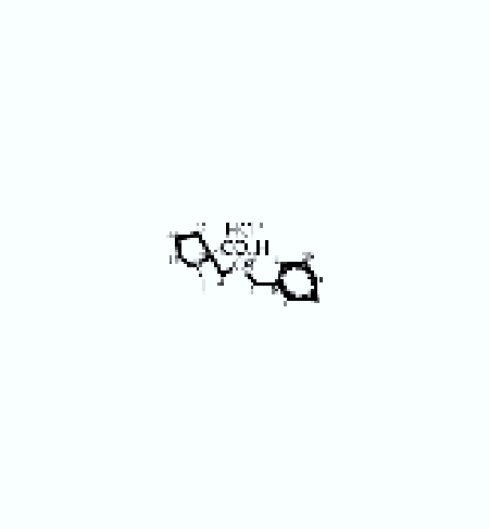 Cl.O=C(O)[C@@]1(COCc2ccccc2)CCCN1